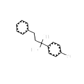 CC(C)(CCc1ccccc1)c1ccc(Br)cc1